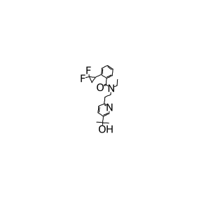 CCN(CCc1ccc(C(C)(C)O)cn1)C(=O)c1ccccc1C1CC1(F)F